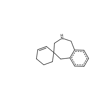 C1=CC2(CCC1)CNCc1ccccc1C2